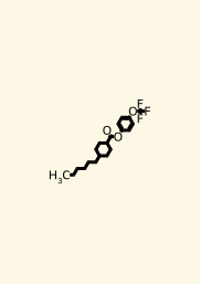 CCCCCCC1CCC(C(=O)Oc2ccc(OC(F)(F)F)cc2)CC1